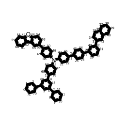 c1ccc(-c2cc(-c3ccccc3)cc(-c3ccc(N(c4ccc(-c5ccc(-c6cccc(-c7ccc8ccccc8c7)c6)cc5)cc4)c4ccc(-c5ccc6oc7ccccc7c6c5)cc4)cc3)c2)cc1